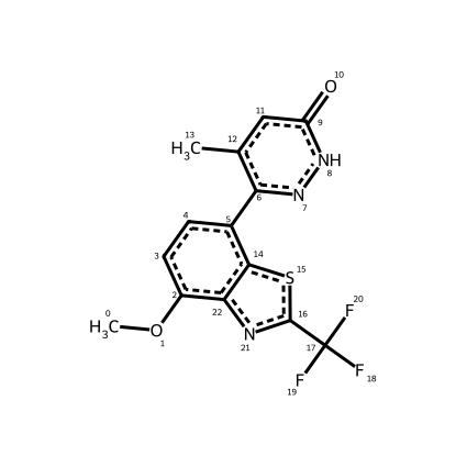 COc1ccc(-c2n[nH]c(=O)cc2C)c2sc(C(F)(F)F)nc12